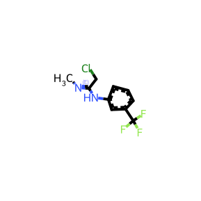 C/N=C(\CCl)Nc1cccc(C(F)(F)F)c1